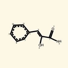 [NH]C(=O)C(O)=Cc1ccccc1